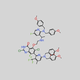 COc1ccc(CN(Cc2ccc(OC)cc2)c2cc(C)c(C(F)(F)F)c(-c3c(Cl)c(OCCNC(C)c4cc(F)cnc4N(Cc4ccc(OC)cc4)Cc4ccc(OC)cc4)c4c(=O)[nH]c(Cl)nc4c3F)n2)cc1